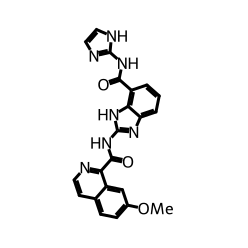 COc1ccc2ccnc(C(=O)Nc3nc4cccc(C(=O)Nc5ncc[nH]5)c4[nH]3)c2c1